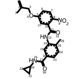 C=C(C)COc1ccc([N+](=O)[O-])c(C(=O)Nc2cc(C(=O)NC3CC3)ccc2C)c1